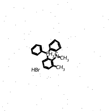 Br.Cc1cccc(P(c2ccccc2)c2ccccc2)c1N(C)C